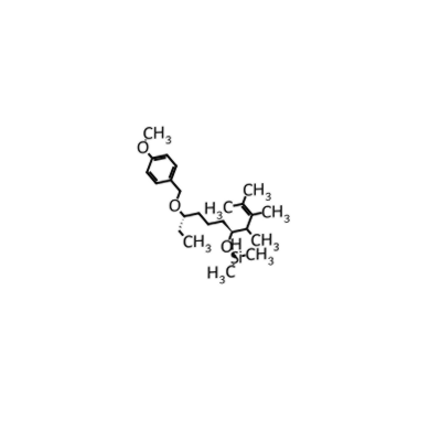 CC[C@@H](CCC[C@H](O[SiH](C)C)C(C)C(C)=C(C)C)OCc1ccc(OC)cc1